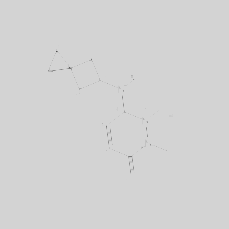 CCN1C(=O)C=CC(N(C)C2CC3(CC3)C2)N1C